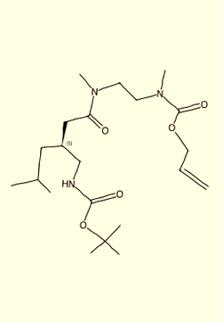 C=CCOC(=O)N(C)CCN(C)C(=O)C[C@@H](CNC(=O)OC(C)(C)C)CC(C)C